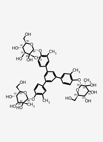 Cc1cc(-c2cc(-c3ccc(O[C@H]4O[C@H](CO)[C@@H](O)[C@H](O)[C@@]4(C)O)c(C)c3)cc(-c3ccc(O[C@H]4O[C@H](CO)[C@@H](O)[C@H](O)[C@]4(C)O)c(C)c3)c2)ccc1O[C@H]1O[C@H](CO)[C@@H](O)[C@H](O)[C@@]1(C)O